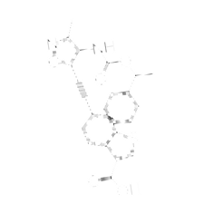 Cc1noc(C#Cc2ccc3c(C(=O)O)csc3c2)c1NC(=O)OC(C)c1ccccc1